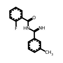 Cc1cccc(C(=N)NC(=O)c2ccccc2F)c1